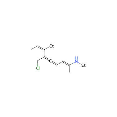 C/C=C(/CC)C(=C=C/C=C(\C)NCC)CCl